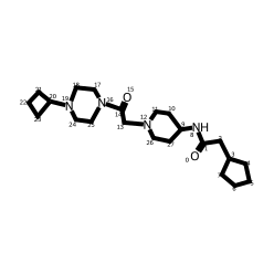 O=C(CC1CCCC1)NC1CCN(CC(=O)N2CCN(C3CCC3)CC2)CC1